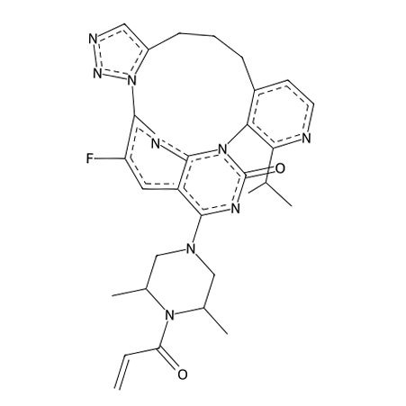 C=CC(=O)N1C(C)CN(c2nc(=O)n3c4nc(c(F)cc24)-n2nncc2CCCc2ccnc(C(C)C)c2-3)CC1C